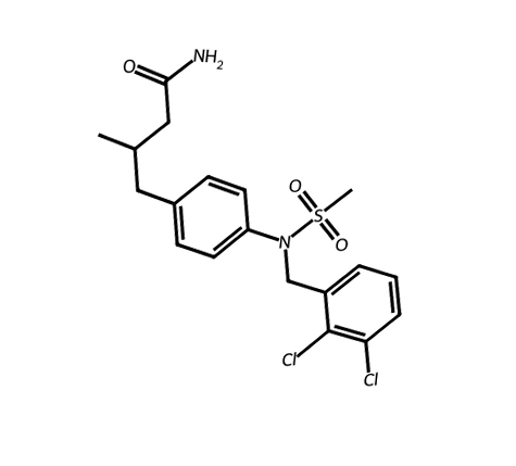 CC(CC(N)=O)Cc1ccc(N(Cc2cccc(Cl)c2Cl)S(C)(=O)=O)cc1